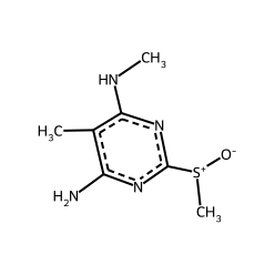 CNc1nc([S+](C)[O-])nc(N)c1C